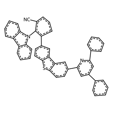 N#Cc1cccc(-c2ccc3sc4ccc(-c5cc(-c6ccccc6)cc(-c6ccccc6)n5)cc4c3c2)c1-n1c2ccccc2c2ccccc21